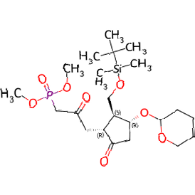 COP(=O)(CC(=O)C[C@H]1C(=O)C[C@@H](OC2CCCCO2)[C@@H]1CO[Si](C)(C)C(C)(C)C)OC